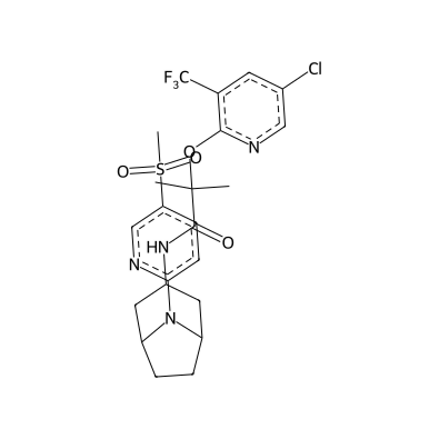 CC(C)(Oc1ncc(Cl)cc1C(F)(F)F)C(=O)NC1CC2CCC(C1)N2c1ccc(S(C)(=O)=O)cn1